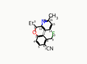 CCC(Oc1ccc(C#N)c(CF)c1)c1cccc(C)n1